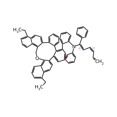 C=C/C=C\C=C(/c1ccccc1)N(c1ccccc1)c1ccccc1-c1cccc2c1-c1ccccc1-c1ccc3c(CC)cccc3c1COc1c-2ccc2c(CC)cccc12